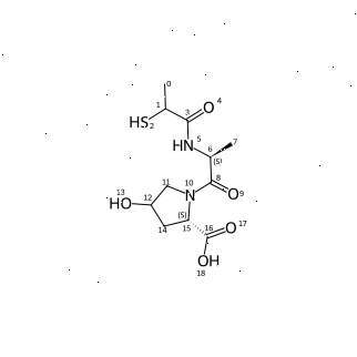 CC(S)C(=O)N[C@@H](C)C(=O)N1CC(O)C[C@H]1C(=O)O